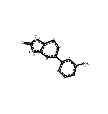 Nc1cccc(-c2ccc3[nH]c(=O)[nH]c3c2)c1